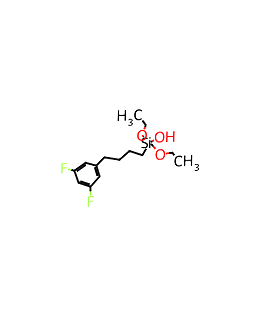 CCO[Si](O)(CCCCc1cc(F)cc(F)c1)OCC